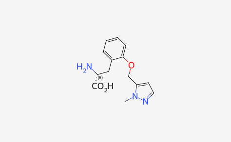 Cn1nccc1COc1ccccc1C[C@@H](N)C(=O)O